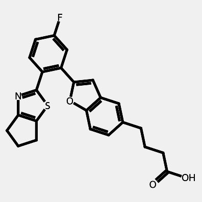 O=C(O)CCCc1ccc2oc(-c3cc(F)ccc3-c3nc4c(s3)CCC4)cc2c1